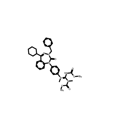 CN(C(=O)OC(C)(C)C)C(NC(=O)OC(C)(C)C)=[N+](C)c1ccc(N2C(=O)N(Cc3ccccc3)N=C(C3CCCCC3)c3ccccc32)cc1